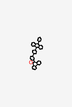 c1ccc(-c2c3ccccc3c(-c3ccc(-c4ccc5oc6c7ccccc7c7ccccc7c6c5c4)cc3)c3ccccc23)cc1